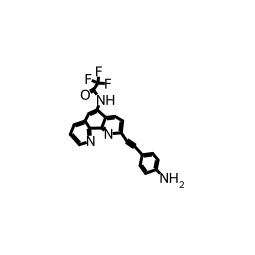 Nc1ccc(C#Cc2ccc3c(NC(=O)C(F)(F)F)cc4cccnc4c3n2)cc1